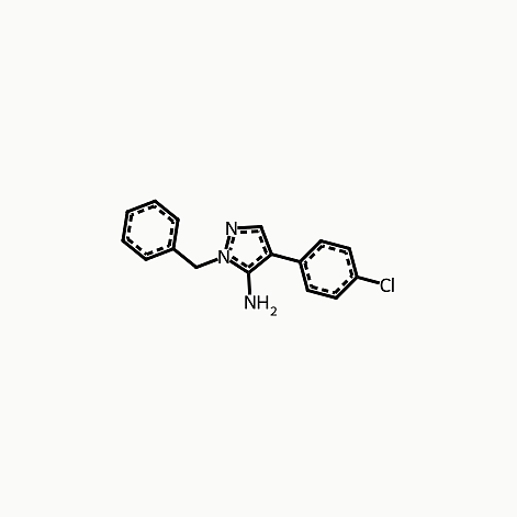 Nc1c(-c2ccc(Cl)cc2)cnn1Cc1ccccc1